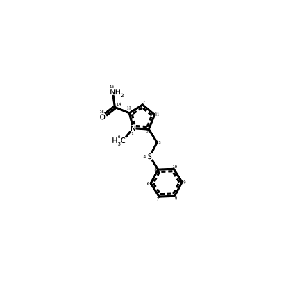 Cn1c(CSc2ccccc2)ccc1C(N)=O